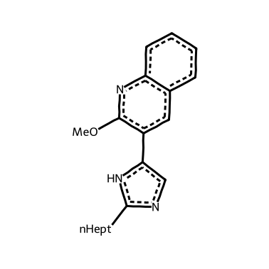 CCCCCCCc1ncc(-c2cc3ccccc3nc2OC)[nH]1